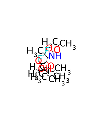 CC(C)OC(=O)N[C@H]([C@@H](O[Si](C(C)C)(C(C)C)C(C)C)C(=O)O)C(C)(F)F